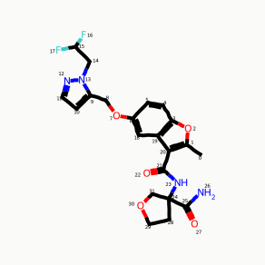 Cc1oc2ccc(OCc3ccnn3CC(F)F)cc2c1C(=O)NC1(C(N)=O)CCOC1